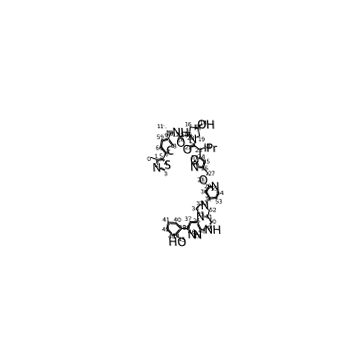 Cc1ncsc1-c1ccc([C@H](C)NC(=O)[C@H]2C[C@@H](O)CN2C(=O)C(c2cc(COc3cc(N4CCN5c6cc(-c7ccccc7O)nnc6NCC5C4)ccn3)no2)C(C)C)cc1